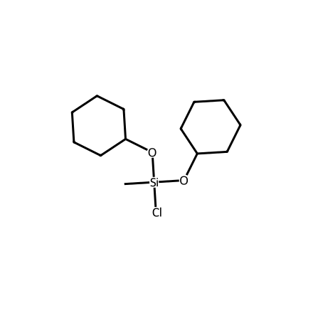 C[Si](Cl)(OC1CCCCC1)OC1CCCCC1